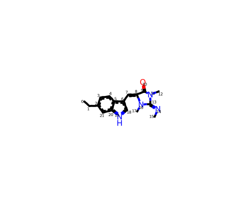 CCc1ccc2c(C=C3C(=O)N(C)C(=NC)N3C)c[nH]c2c1